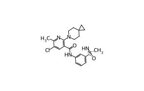 Cc1nc(N2CCC3(CC2)CC3)c(C(=O)Nc2cccc([S@@](C)(=N)=O)c2)cc1Cl